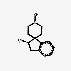 CN1CCC2(CC1)c1cccnc1C[C@H]2N